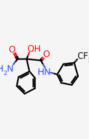 NC(=O)C(O)(C(=O)Nc1cccc(C(F)(F)F)c1)c1ccccc1